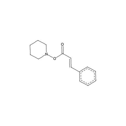 O=C(/C=C/c1ccccc1)ON1CCCCC1